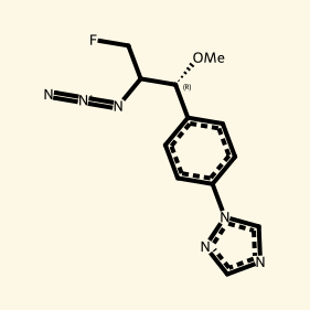 CO[C@H](c1ccc(-n2cncn2)cc1)C(CF)N=[N+]=[N-]